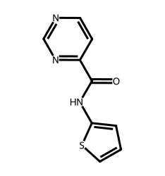 O=C(Nc1cccs1)c1ccncn1